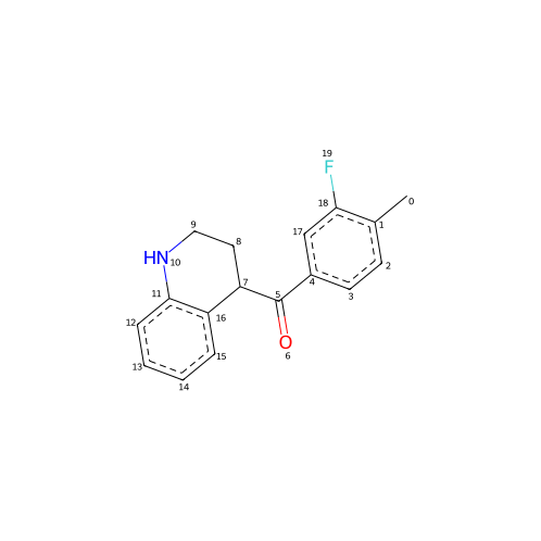 Cc1ccc(C(=O)C2CCNc3ccccc32)cc1F